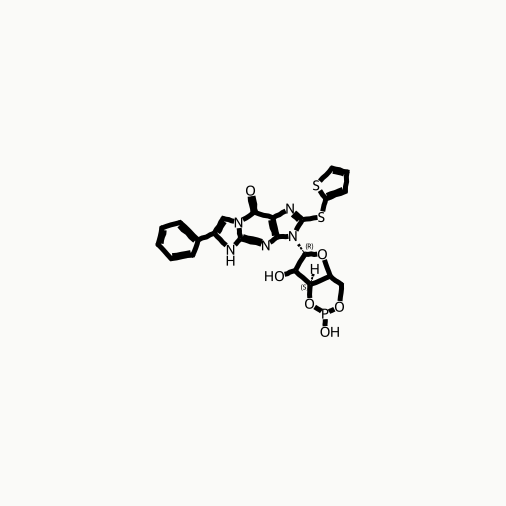 O=c1c2nc(Sc3cccs3)n([C@@H]3OC4COP(O)O[C@H]4C3O)c2nc2[nH]c(-c3ccccc3)cn12